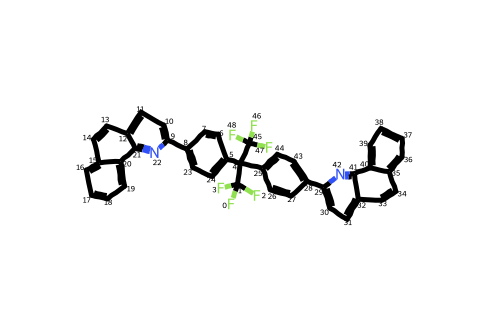 FC(F)(F)C(c1ccc(-c2ccc3ccc4ccccc4c3n2)cc1)(c1ccc(-c2ccc3ccc4ccccc4c3n2)cc1)C(F)(F)F